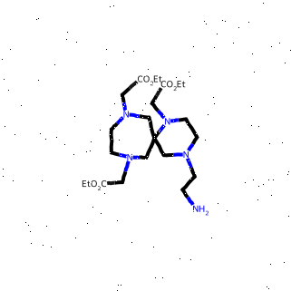 CCOC(=O)CN1CCN(CC(=O)OCC)CC2(CN(CCN)CCN2CC(=O)OCC)C1